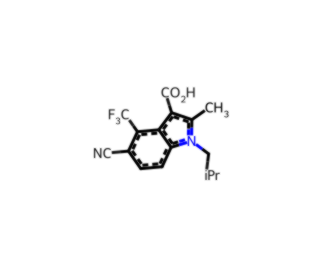 Cc1c(C(=O)O)c2c(C(F)(F)F)c(C#N)ccc2n1CC(C)C